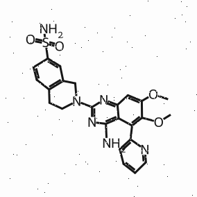 COc1cc2nc(N3CCc4ccc(S(N)(=O)=O)cc4C3)nc(N)c2c(-c2ccccn2)c1OC